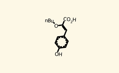 CCCCO/C(=C\c1ccc(O)cc1)C(=O)O